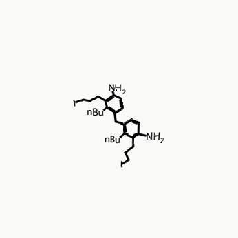 CCCCc1c(Cc2ccc(N)c(CCCI)c2CCCC)ccc(N)c1CCCI